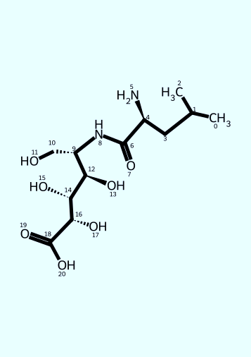 CC(C)C[C@H](N)C(=O)N[C@@H](CO)[C@@H](O)[C@@H](O)[C@H](O)C(=O)O